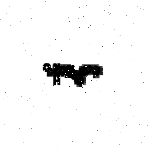 CCNc1cc2nc(NCc3ccccc3CN3CCN(Cc4ccccc4)CC3)ncc2cc1[N+](=O)[O-]